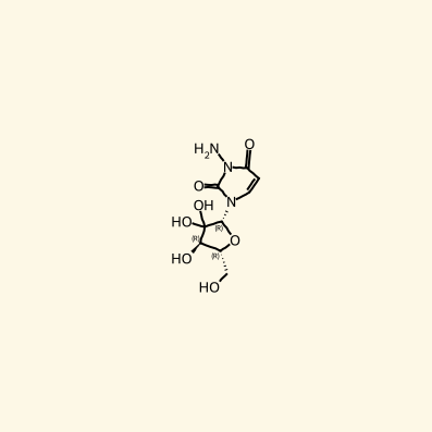 Nn1c(=O)ccn([C@@H]2O[C@H](CO)[C@@H](O)C2(O)O)c1=O